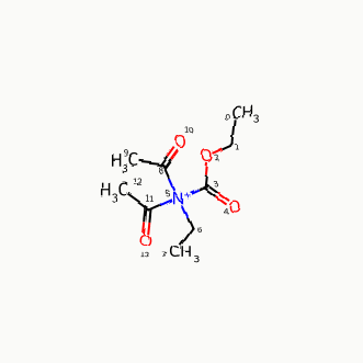 CCOC(=O)[N+](CC)(C(C)=O)C(C)=O